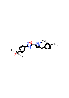 Cc1ccc(Cc2cc(-c3nc(-c4ccc(C(C)(C)O)cc4)no3)nn2C)cc1